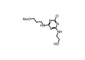 COCCCNc1nc(Cl)nc(NCCO)n1